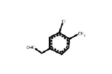 Cc1ccc(CC=O)cc1Cl